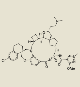 COc1nn(C)cc1C(=O)NS1(=O)=NC(=O)c2ccc3c(c2)N(C[C@@H]2CC[C@H]2[C@H]2O[C@H](CCN(C)C)C[C@]24CC[C@H](C4)C1)C[C@@]1(CCCc2cc(Cl)ccc21)CO3